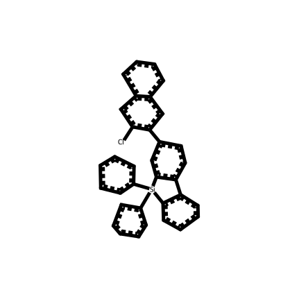 Clc1cc2ccccc2cc1-c1ccc2c(c1)[Si](c1ccccc1)(c1ccccc1)c1ccccc1-2